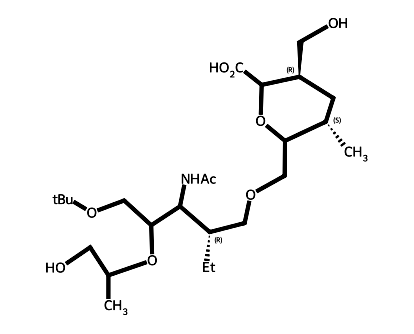 CC[C@@H](COCC1OC(C(=O)O)[C@@H](CO)C[C@@H]1C)C(NC(C)=O)C(COC(C)(C)C)OC(C)CO